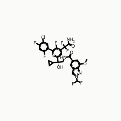 COc1cc(C(=O)NC[C@](O)(c2cc(C(F)(F)C(N)=O)c(F)c(-c3cc(Cl)c(F)cc3F)n2)C2CC2)cc2cn(C(F)F)nc12